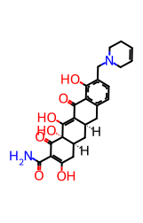 NC(=O)C1=C(O)C[C@@H]2C[C@@H]3Cc4ccc(CN5CC=CCC5)c(O)c4C(=O)C3=C(O)[C@]2(O)C1=O